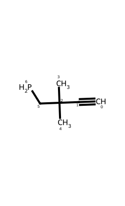 C#CC(C)(C)CP